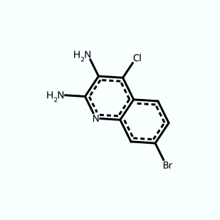 Nc1nc2cc(Br)ccc2c(Cl)c1N